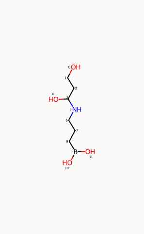 OCCC(O)NCCCB(O)O